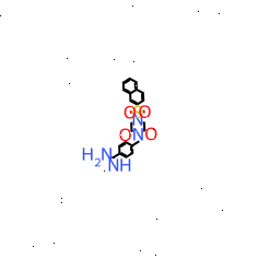 N=C(N)c1ccc(CN2C(=O)CN(S(=O)(=O)c3ccc4ccccc4c3)CC2=O)cc1